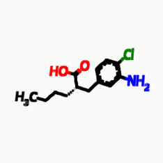 CCCC[C@@H](Cc1ccc(Cl)c(N)c1)C(=O)O